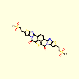 CCS(=O)(=O)CCc1cc2c(nc3c4ccc5c6c(sc(c(=O)n23)c46)c(=O)n2c3cc(CCS(=O)(=O)CC)sc3nc52)s1